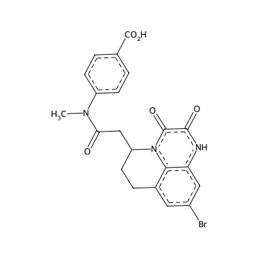 CN(C(=O)CC1CCc2cc(Br)cc3[nH]c(=O)c(=O)n1c23)c1ccc(C(=O)O)cc1